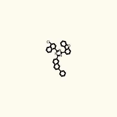 Clc1ccc(-c2nc(-c3ccc4ccc(-c5ccccc5)cc4c3)nc(-c3cccc4oc5ccccc5c34)n2)c2ccccc12